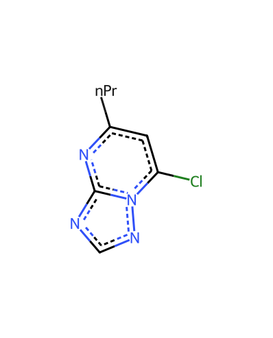 CCCc1cc(Cl)n2ncnc2n1